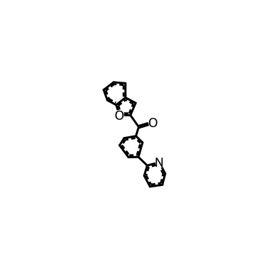 O=C(c1cccc(-c2ccccn2)c1)c1cc2ccccc2o1